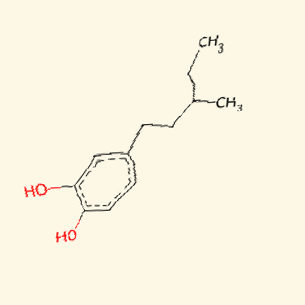 CCC(C)CCc1ccc(O)c(O)c1